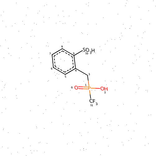 O=P(O)(Cc1ccccc1S(=O)(=O)O)C(F)(F)F